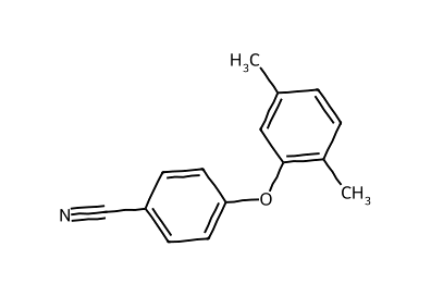 Cc1ccc(C)c(Oc2ccc(C#N)cc2)c1